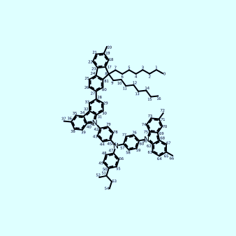 CCCCCCCCC1(CCCCCCCC)c2cc(C)ccc2-c2ccc(-c3ccc4c(c3)c3cc(C)ccc3n4-c3ccc(N(c4ccc(C(C)CC)cc4)c4ccc(-n5c6ccc(C)cc6c6cc(C)ccc65)cc4)cc3)cc21